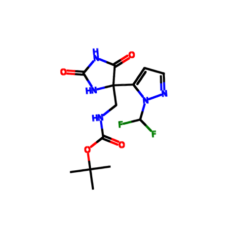 CC(C)(C)OC(=O)NCC1(c2ccnn2C(F)F)NC(=O)NC1=O